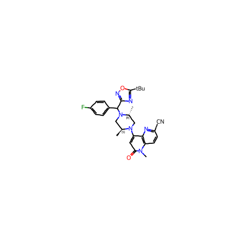 C[C@@H]1CN(c2cc(=O)n(C)c3ccc(C#N)nc23)[C@@H](C)CN1C(c1ccc(F)cc1)c1noc(C(C)(C)C)n1